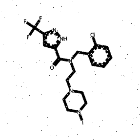 O=C(c1cc(C(F)(F)F)n[nH]1)N(CCN1CCN(I)CC1)Cc1ccccc1Cl